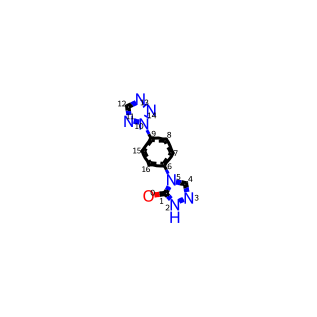 O=c1[nH]ncn1-c1ccc(-n2ncnn2)cc1